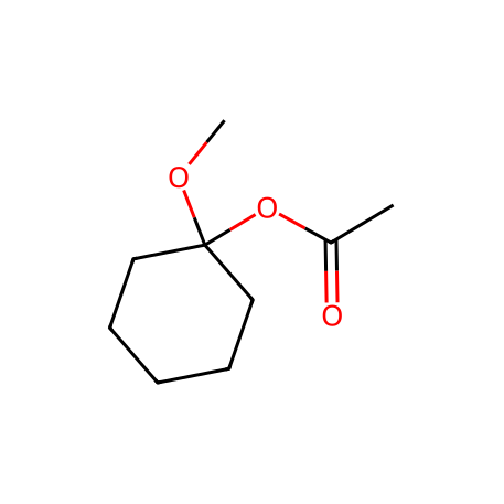 COC1(OC(C)=O)CCCCC1